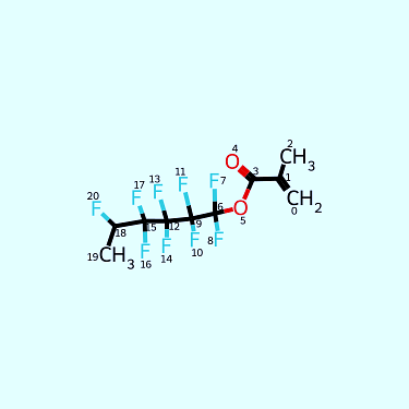 C=C(C)C(=O)OC(F)(F)C(F)(F)C(F)(F)C(F)(F)C(C)F